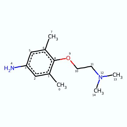 Cc1cc(N)cc(C)c1OCCN(C)C